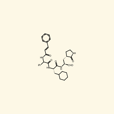 CC(C)C(NC(=O)/C=C/c1ccccc1)C(=O)N[C@@H](CC1CCCCC1)C(=O)N[C@H](C=O)C[C@@H]1CCNC1=O